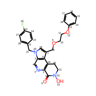 O=C1c2ncc3c(c(COCCOc4ccccc4)cn3Cc3ccc(F)cc3)c2CCN1O